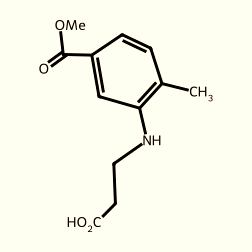 COC(=O)c1ccc(C)c(NCCC(=O)O)c1